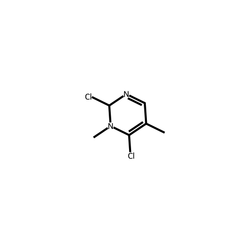 CC1=C(Cl)N(C)C(Cl)N=C1